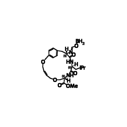 BOC=N[C@H]1Cc2ccc(cc2)OCC=CCOC[C@@H](C(=O)OC)NC(=O)[C@H](CC(C)C)NC1=O